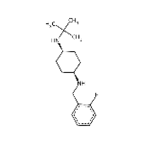 CC(C)(C)N[C@H]1CC[C@@H](NCc2ccccc2F)CC1